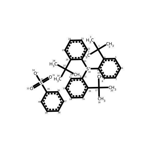 CC(C)(C)c1ccccc1[S+](c1ccccc1C(C)(C)C)c1ccccc1C(C)(C)C.O=S(=O)([O-])c1ccccc1